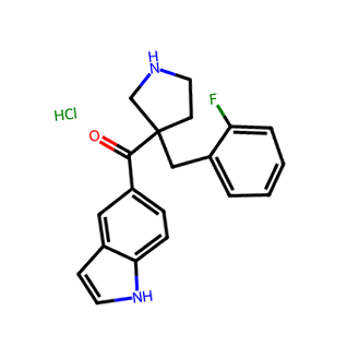 Cl.O=C(c1ccc2[nH]ccc2c1)C1(Cc2ccccc2F)CCNC1